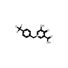 O=C(O)c1cn(Cc2ccc(C(F)(F)F)cc2)cc(O)c1=O